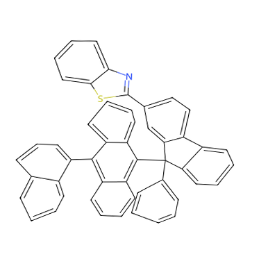 c1ccc(C2(c3c4ccccc4c(-c4cccc5ccccc45)c4ccccc34)c3ccccc3-c3ccc(-c4nc5ccccc5s4)cc32)cc1